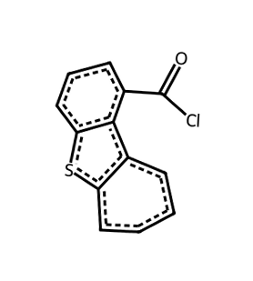 O=C(Cl)c1cccc2sc3ccccc3c12